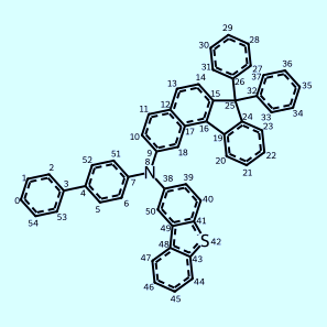 c1ccc(-c2ccc(N(c3ccc4ccc5c(c4c3)-c3ccccc3C5(c3ccccc3)c3ccccc3)c3ccc4sc5ccccc5c4c3)cc2)cc1